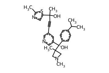 Cc1ncc(C(C)(O)C#Cc2cncc([C@@](O)(c3ccc(C(C)C)cc3)C3(C)CN(C)C3)c2)s1